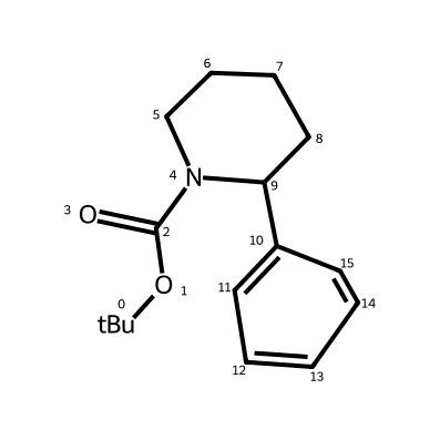 CC(C)(C)OC(=O)N1CCCCC1c1ccccc1